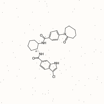 O=C(NC1CCCC[C@H]1NC(=O)c1ccc2c(Cl)c[nH]c2c1)c1ccc(N2CCCCCC2=O)cc1